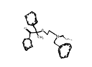 CCN(CCOC(C)(C(=O)c1ccccc1)c1ccccc1)Cc1ccccc1